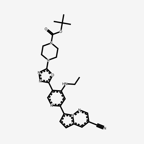 CCNc1cc(-c2ccc3cc(C#N)cnn23)ncc1-c1nnc(N2CCN(C(=O)OC(C)(C)C)CC2)o1